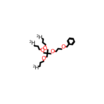 [2H]CCCOCC(COCCC[2H])(COCCC[2H])COCCCOCc1ccccc1